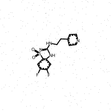 O=S1(=O)N=C(NCCc2ccncc2)Nc2cc(F)c(F)cc21